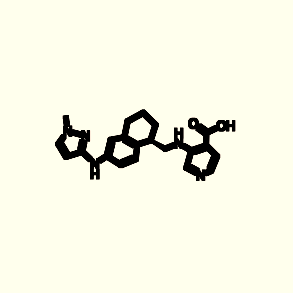 Cn1ccc(Nc2ccc3c(c2)CCC[C@H]3CNc2cnccc2C(=O)O)n1